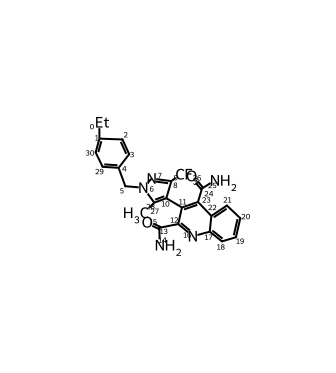 CCc1ccc(Cn2nc(C(F)(F)F)c(-c3c(C(N)=O)nc4ccccc4c3C(N)=O)c2C)cc1